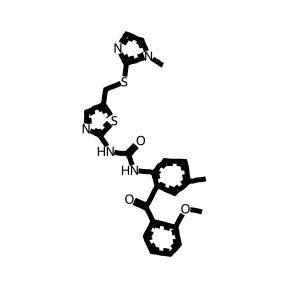 COc1ccccc1C(=O)c1cc(C)ccc1NC(=O)Nc1ncc(CSc2nccn2C)s1